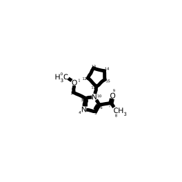 COCc1ncc(C(C)=O)n1C1CCCC1